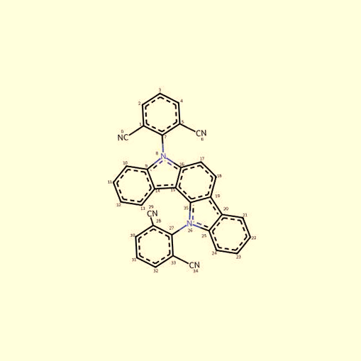 N#Cc1cccc(C#N)c1-n1c2ccccc2c2c1ccc1c3ccccc3n(-c3c(C#N)cccc3C#N)c12